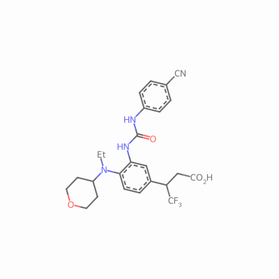 CCN(c1ccc(C(CC(=O)O)C(F)(F)F)cc1NC(=O)Nc1ccc(C#N)cc1)C1CCOCC1